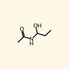 CCC(O)NC(C)=O